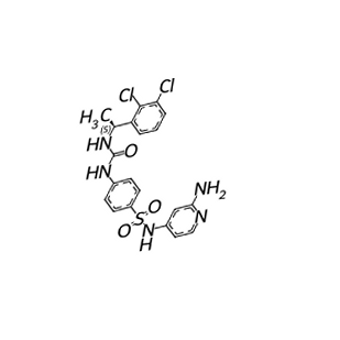 C[C@H](NC(=O)Nc1ccc(S(=O)(=O)Nc2ccnc(N)c2)cc1)c1cccc(Cl)c1Cl